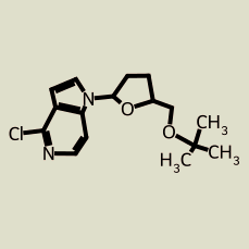 CC(C)(C)OCC1CCC(n2ccc3c(Cl)nccc32)O1